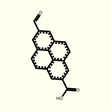 O=Cc1cc2ccc3cc(C(=O)O)cc4ccc(c1)c2c34